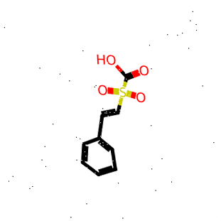 O=C(O)S(=O)(=O)C=Cc1ccccc1